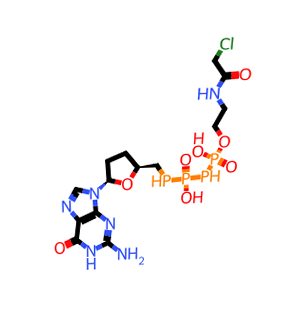 Nc1nc2c(ncn2[C@H]2CC[C@@H](CPP(=O)(O)PP(=O)(O)OCCNC(=O)CCl)O2)c(=O)[nH]1